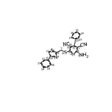 N#Cc1c(N)nc(SCc2nc(-c3ccccc3)cs2)c(C#N)c1-c1ccccc1